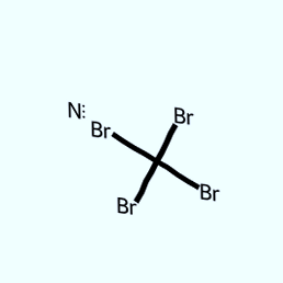 BrC(Br)(Br)Br.[N]